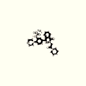 CS(=O)(=O)Nc1cc(-c2nn(CC(=O)N3CCCCC3)c(=O)c3ccccc23)ccc1N1CCOCC1